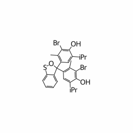 Cc1c(C2(c3cc(C(C)C)c(O)c(Br)c3C)OSc3ccccc32)cc(C(C)C)c(O)c1Br